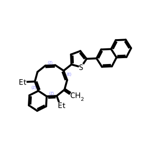 C=C1/C=C(c2ccc(-c3ccc4ccccc4c3)s2)\C=C/C/C(CC)=c2/cccc/c2=C/1CC